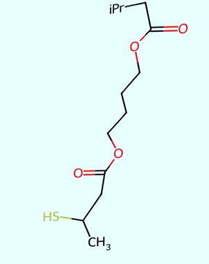 CC(C)CC(=O)OCCCCOC(=O)CC(C)S